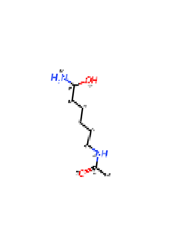 CC(=O)NCCCCCC(N)O